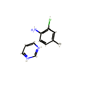 CC(C)c1ccc(N)c(Br)c1.c1cncnc1